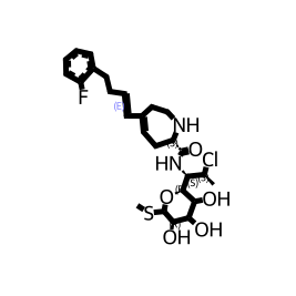 CSC1O[C@H]([C@H](NC(=O)[C@@H]2CC=C(/C=C/CCc3ccccc3F)CCN2)[C@H](C)Cl)C(O)C(O)[C@H]1O